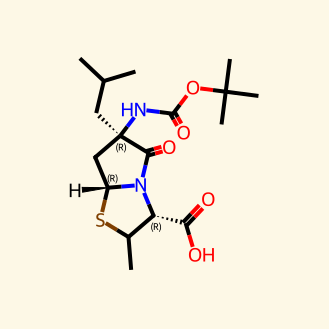 CC(C)C[C@@]1(NC(=O)OC(C)(C)C)C[C@H]2SC(C)[C@@H](C(=O)O)N2C1=O